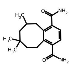 CC1Cc2c(C(N)=O)ccc(C(N)=O)c2CCC(C)(C)C1